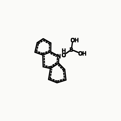 OB(O)O.c1ccc2nc3ccccc3cc2c1